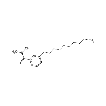 CCCCCCCCCCc1cccc(C(=O)N(C)O)c1